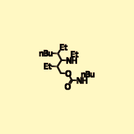 CCCCNC(=O)OCC(CC)C(NCC)C(CC)CCCC